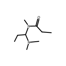 CCC(=O)N(C)C(CC)N(C)C